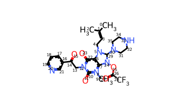 CC(C)=CCN1c2c(n(C)c(=O)n(CC(=O)c3cccnc3)c2=O)N(OC(=O)C(F)(F)F)C1N1CCNCC1